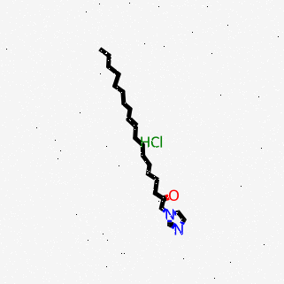 CCCCCCCCC=CCCCCCCCC(=O)CN1C=NCC1.Cl